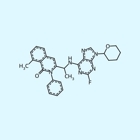 Cc1cccc2cc(C(C)Nc3nc(F)nc4c3ncn4C3CCCCO3)n(-c3ccccc3)c(=O)c12